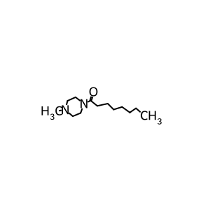 CCCCCCCC(=O)N1CCN(C)CC1